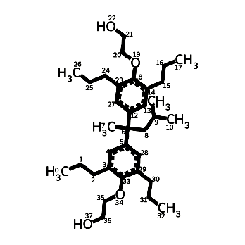 CCCc1cc(C(C)(CC(C)C)c2cc(CCC)c(OCCO)c(CCC)c2)cc(CCC)c1OCCO